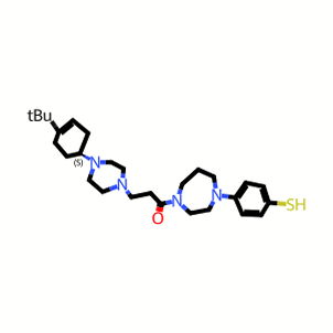 CC(C)(C)C1=CC[C@@H](N2CCN(CCC(=O)N3CCCN(c4ccc(S)cc4)CC3)CC2)CC1